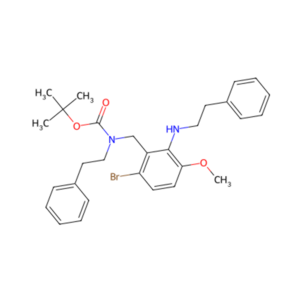 COc1ccc(Br)c(CN(CCc2ccccc2)C(=O)OC(C)(C)C)c1NCCc1ccccc1